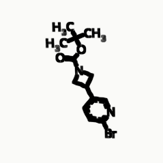 CC(C)(C)OC(=O)N1CC(c2ccc(Br)nc2)C1